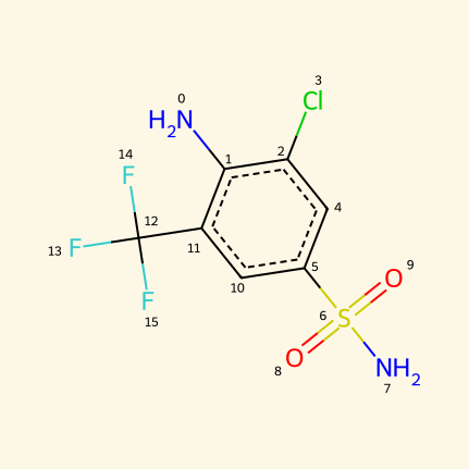 Nc1c(Cl)cc(S(N)(=O)=O)cc1C(F)(F)F